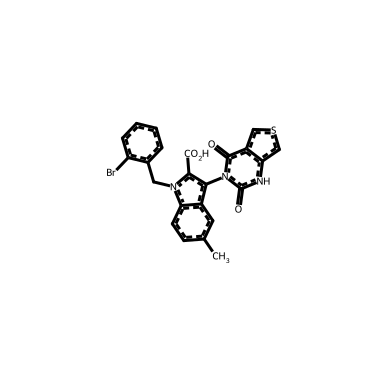 Cc1ccc2c(c1)c(-n1c(=O)[nH]c3cscc3c1=O)c(C(=O)O)n2Cc1ccccc1Br